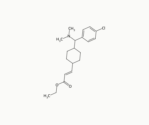 CCOC(=O)C=CC1CCC(C(c2ccc(Cl)cc2)N(C)C)CC1